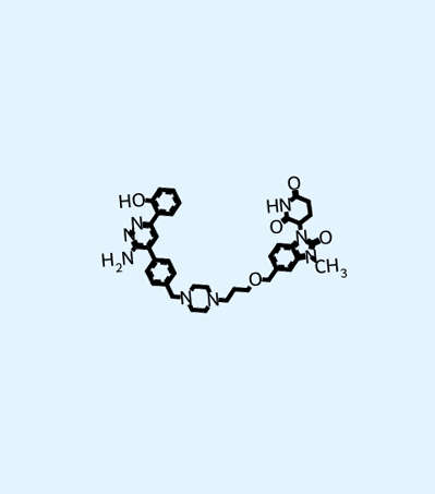 Cn1c(=O)n(C2CCC(=O)NC2=O)c2ccc(COCCCN3CCN(Cc4ccc(-c5cc(-c6ccccc6O)nnc5N)cc4)CC3)cc21